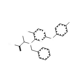 COC(=O)C(C)N(Cc1ccccc1)c1nc(Nc2ccc(Cl)cc2)ncc1[N+](=O)[O-]